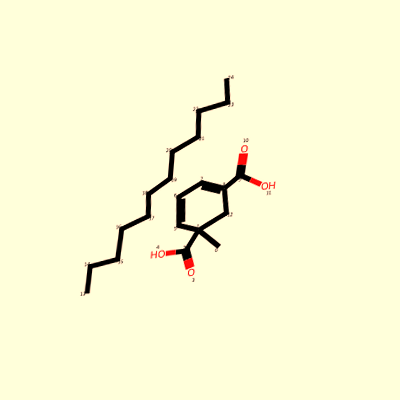 CC1(C(=O)O)C=CC=C(C(=O)O)C1.CCCCCCCCCCCC